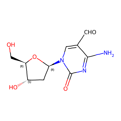 Nc1nc(=O)n([C@H]2C[C@H](O)[C@@H](CO)O2)cc1C=O